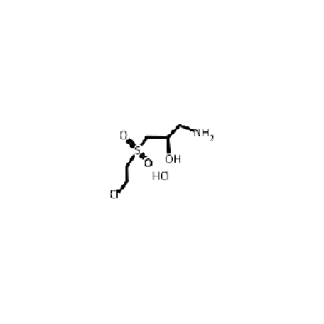 Cl.NCC(O)CS(=O)(=O)CCCl